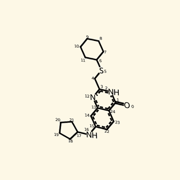 O=c1[nH]c(CSC2CCCCC2)nc2cc(NC3CCCC3)ccc12